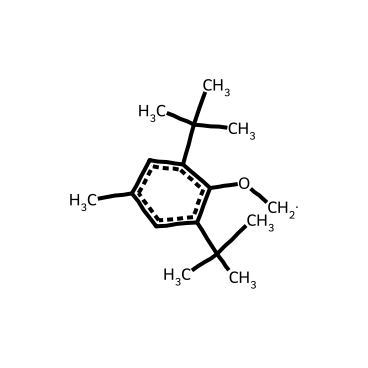 [CH2]Oc1c(C(C)(C)C)cc(C)cc1C(C)(C)C